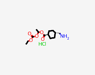 CCOC(=O)OC(C)OC(=O)[C@H]1CC[C@H](CN)CC1.Cl